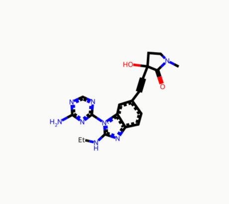 CCNc1nc2ccc(C#CC3(O)CCN(C)C3=O)cc2n1-c1ncnc(N)n1